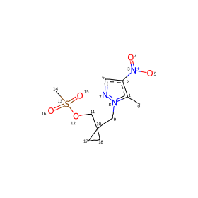 Cc1c([N+](=O)[O-])cnn1CC1(COS(C)(=O)=O)CC1